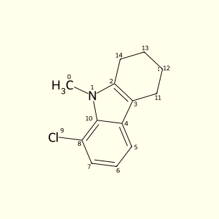 Cn1c2c(c3cccc(Cl)c31)C[C]CC2